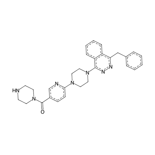 O=C(c1ccc(N2CCN(c3nnc(Cc4ccccc4)c4ccccc34)CC2)nc1)N1CCNCC1